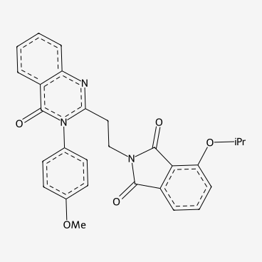 COc1ccc(-n2c(CCN3C(=O)c4cccc(OC(C)C)c4C3=O)nc3ccccc3c2=O)cc1